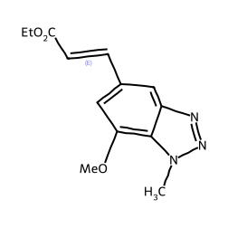 CCOC(=O)/C=C/c1cc(OC)c2c(c1)nnn2C